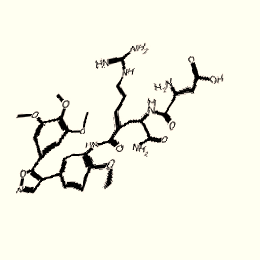 COc1ccc(-c2cnoc2-c2cc(OC)c(OC)c(OC)c2)cc1NC(=O)C(CCCNC(=N)N)C(NC(=O)C(N)CC(=O)O)C(N)=O